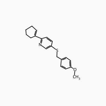 COc1ccc(CSc2ccc(C3=CCCCC3)nc2)cc1